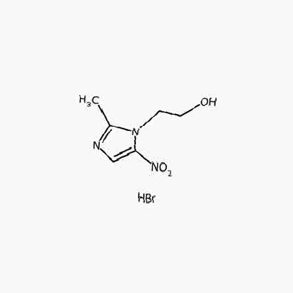 Br.Cc1ncc([N+](=O)[O-])n1CCO